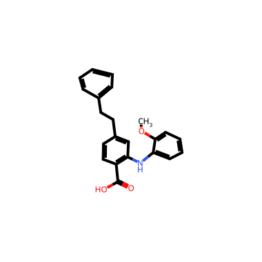 COc1ccccc1Nc1cc(CCc2ccccc2)ccc1C(=O)O